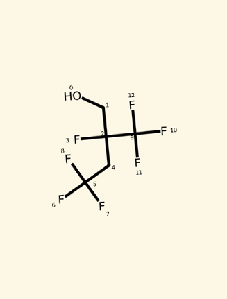 OCC(F)(CC(F)(F)F)C(F)(F)F